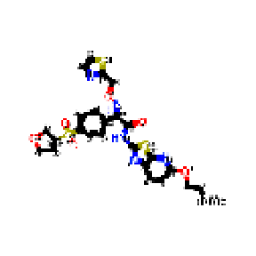 CNCCOc1ccc2nc(NC(=O)/C(=N/OCc3nccs3)c3ccc(S(=O)(=O)[C@H]4CCOC4)cc3)sc2n1